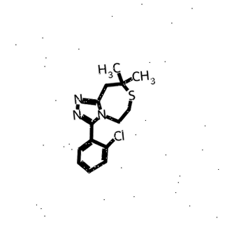 CC1(C)Cc2nnc(-c3ccccc3Cl)n2CCS1